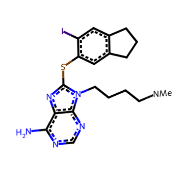 CNCCCCn1c(Sc2cc3c(cc2I)CCC3)nc2c(N)ncnc21